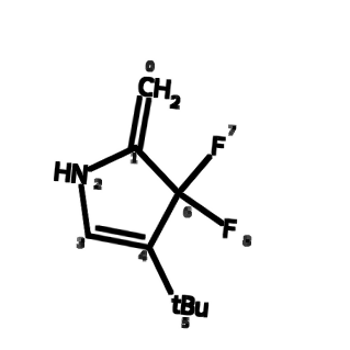 C=C1NC=C(C(C)(C)C)C1(F)F